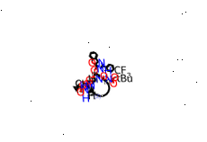 CC(C)(C)OC(=O)N[C@H]1CCCCC/C=C\[C@@H]2C[C@@]2(C(=O)NS(=O)(=O)C2(C)CC2)NC(=O)[C@@H]2C[C@@H](Oc3nc(-c4ccc(C(F)(F)F)cc4)nc4c3oc3ccccc34)CN2C1=O